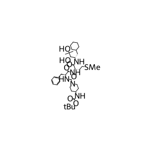 CSCC[C@H](NC(=O)[C@H](Cc1ccccc1)NC(=O)N1CCC(NC(=O)OC(C)(C)C)CC1)C(=O)N[C@@H](CC1CCCCC1)[C@H](O)C(C)(C)O